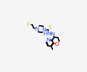 Cc1ccnc2c1OCC/C2=N/NC(=S)N1CCN(CCF)CC1